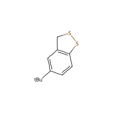 CC(C)(C)c1ccc2c(c1)CSS2